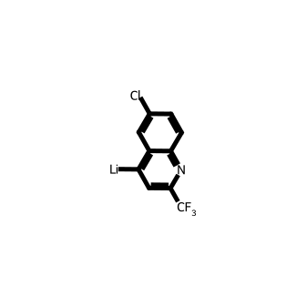 [Li][c]1cc(C(F)(F)F)nc2ccc(Cl)cc12